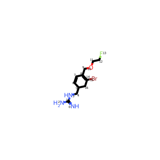 N=C(N)NCC1C=CC(COCCF)=C(Br)C1